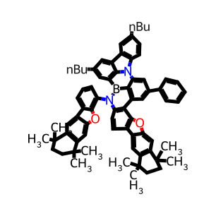 CCCCc1ccc2c(c1)c1cc(CCCC)cc3c1n2-c1cc(-c2ccccc2)cc2c1B3N(c1cccc3c1oc1cc4c(cc13)C(C)(C)CCC4(C)C)c1ccc3c(oc4cc5c(cc43)C(C)(C)CCC5(C)C)c1-2